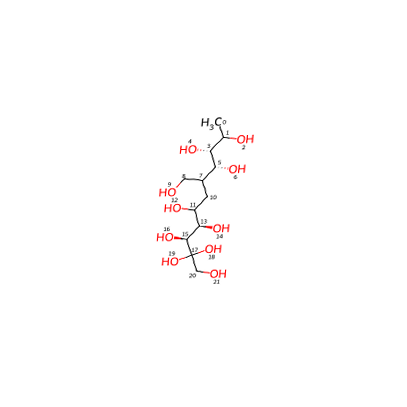 CC(O)[C@@H](O)[C@H](O)C(CO)CC(O)[C@@H](O)[C@H](O)C(O)(O)CO